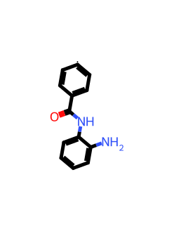 Nc1ccccc1NC(=O)c1cc[c]cc1